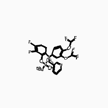 CC(C)(C)[Si](C)(C)OC1=C(N(Cc2cccnc2)c2ccc(OC(F)F)c(OC(F)F)c2)C[CH]C(F)=C1F